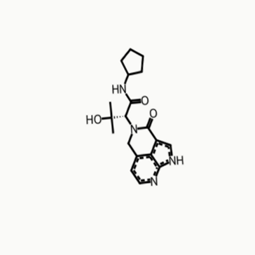 CC(C)(O)[C@H](C(=O)NC1CCCC1)N1Cc2ccnc3[nH]cc(c23)C1=O